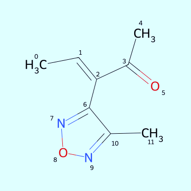 C/C=C(/C(C)=O)c1nonc1C